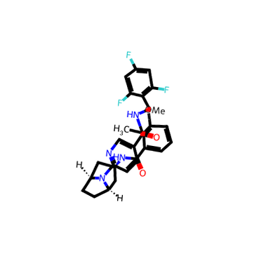 COc1cccc(C(=O)N[C@H]2C[C@H]3CC[C@@H](C2)N3c2ccc(C(=O)NCc3c(F)cc(F)cc3F)cn2)c1C